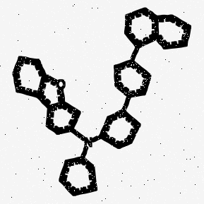 c1ccc(N(c2cccc(-c3ccc(-c4cccc5ccccc45)cc3)c2)c2ccc3c(c2)oc2ccccc23)cc1